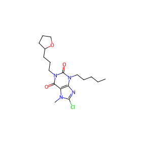 CCCCCn1c(=O)n(CCCC2CCCO2)c(=O)c2c1nc(Cl)n2C